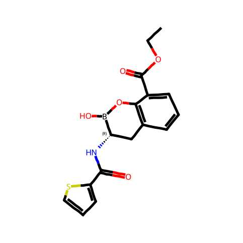 CCOC(=O)c1cccc2c1OB(O)[C@@H](NC(=O)c1cccs1)C2